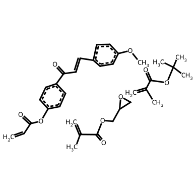 C=C(C)C(=O)OC(C)(C)C.C=C(C)C(=O)OCC1CO1.C=CC(=O)Oc1ccc(C(=O)C=Cc2ccc(OC)cc2)cc1